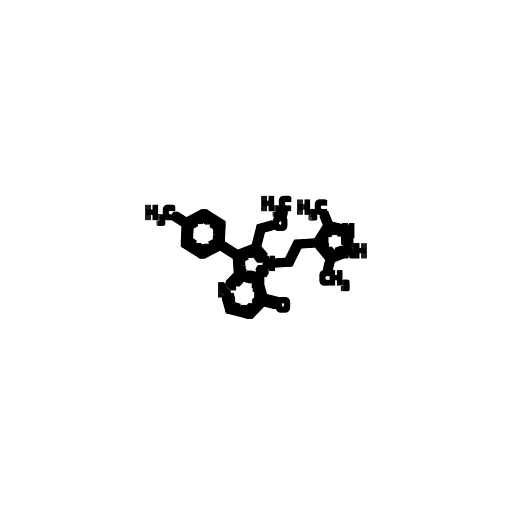 COCc1c(-c2ccc(C)cc2)c2nccc(=O)n2n1CCc1c(C)n[nH]c1C